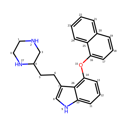 [CH]1CNCC(CCc2c[nH]c3cccc(Oc4cccc5ccccc45)c23)N1